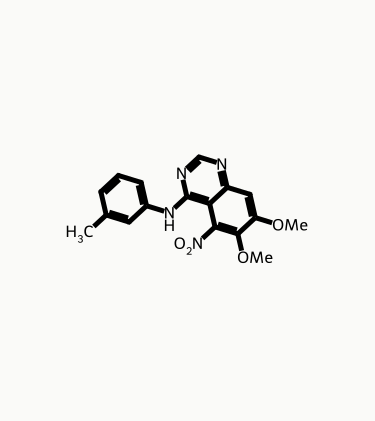 COc1cc2ncnc(Nc3cccc(C)c3)c2c([N+](=O)[O-])c1OC